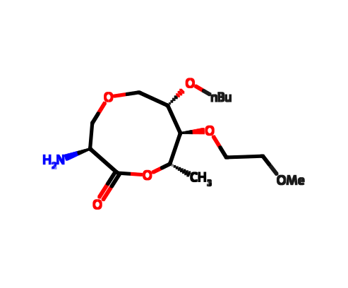 CCCCO[C@H]1COC[C@H](N)C(=O)O[C@@H](C)[C@@H]1OCCOC